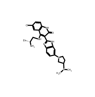 CC[C@@H](N)CNc1c(-c2nc3ccc(N4CCC(N(C)C)C4)cc3[nH]2)c(=O)[nH]c2ccc(Cl)cc12